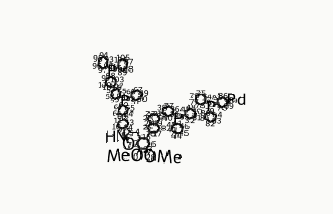 COc1cc(C=C2C(=O)Nc3ccccc32)c(-c2ccc3ccccc3c2)cc1OC.[Pd].c1ccc(P(c2ccccc2)c2ccccc2)cc1.c1ccc(P(c2ccccc2)c2ccccc2)cc1.c1ccc(P(c2ccccc2)c2ccccc2)cc1.c1ccc(P(c2ccccc2)c2ccccc2)cc1